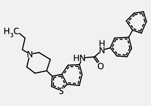 CCCN1CCC(c2csc3ccc(NC(=O)Nc4cccc(-c5ccccc5)c4)cc23)CC1